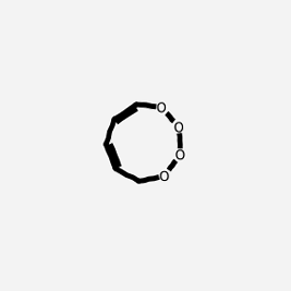 C1=CCOOOOC=C1